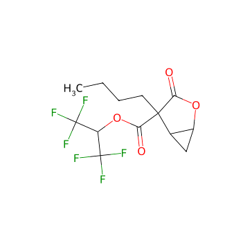 CCCCC1(C(=O)OC(C(F)(F)F)C(F)(F)F)C(=O)OC2CC21